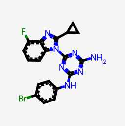 Nc1nc(Nc2ccc(Br)cc2)nc(-n2c(C3CC3)nc3c(F)cccc32)n1